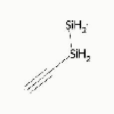 [C]#C[SiH2][SiH2]